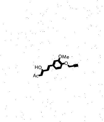 C#CCOc1ccc(/C=C/C(O)=C/C(C)=O)cc1OC